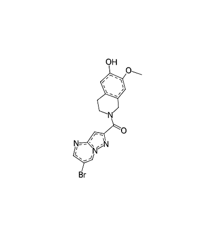 COc1cc2c(cc1O)CCN(C(=O)c1cc3ncc(Br)cn3n1)C2